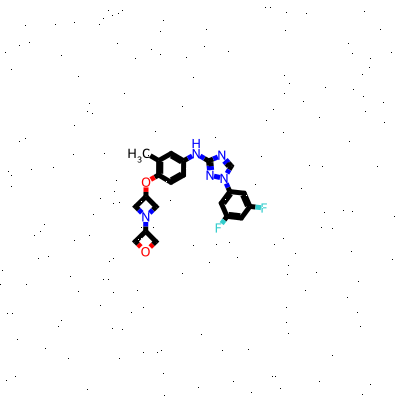 Cc1cc(Nc2ncn(-c3cc(F)cc(F)c3)n2)ccc1OC1CN(C2COC2)C1